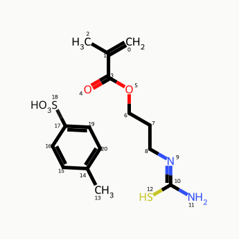 C=C(C)C(=O)OCCCN=C(N)S.Cc1ccc(S(=O)(=O)O)cc1